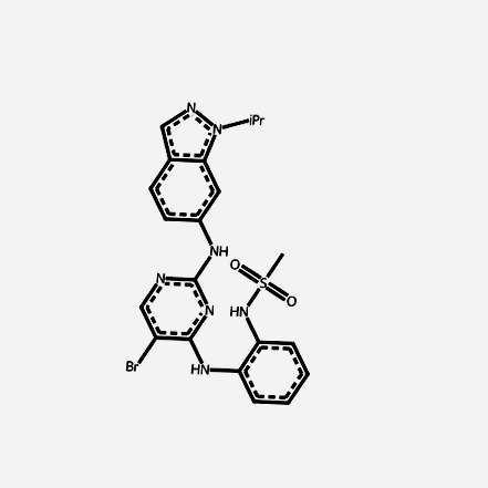 CC(C)n1ncc2ccc(Nc3ncc(Br)c(Nc4ccccc4NS(C)(=O)=O)n3)cc21